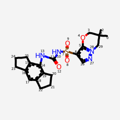 CC1(C)COc2c(S(=O)(=O)NC(=O)Nc3c4c(cc5c3CCC5)CCC4)cnn2C1